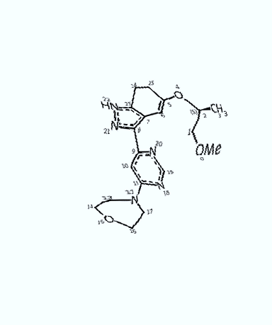 COC[C@H](C)OC1=Cc2c(-c3cc(N4CCOCC4)ncn3)n[nH]c2CC1